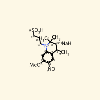 COc1cc2c(cc1N=O)C(C)CC(C)(C)N2CCCS(=O)(=O)O.[NaH]